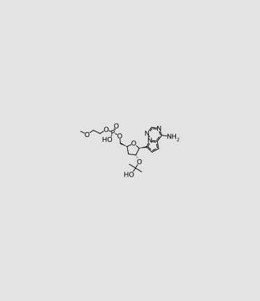 COCCOP(=O)(O)OC[C@@H]1C[C@@H](OC(C)(C)O)[C@H](c2ccc3c(N)ncnn23)O1